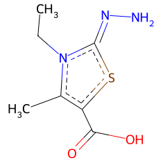 CCn1c(C)c(C(=O)O)sc1=NN